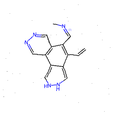 C=Cc1c(/C=N\C)c2cnncc2c2c1=CNNC=2